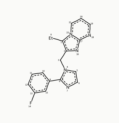 CCc1c(Cn2ccnc2-c2cccc(F)c2)nc2ncccn12